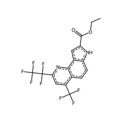 CCOC(=O)c1cc2c(ccc3c(C(F)(F)F)cc(C(F)(F)C(F)(F)F)nc32)[nH]1